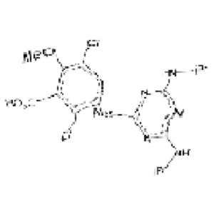 COc1c(Cl)ccc(Cl)c1C(=O)O.CSc1nc(NC(C)C)nc(NC(C)C)n1